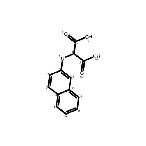 O=C(O)C(Oc1ccc2ccccc2c1)C(=O)O